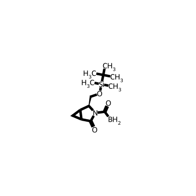 BC(=O)N1C(=O)C2CC2[C@H]1CO[Si](C)(C)C(C)(C)C